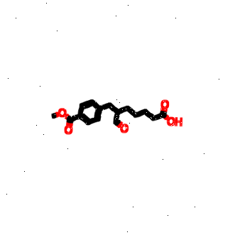 COC(=O)c1ccc(CC(C=O)CCCCC(=O)O)cc1